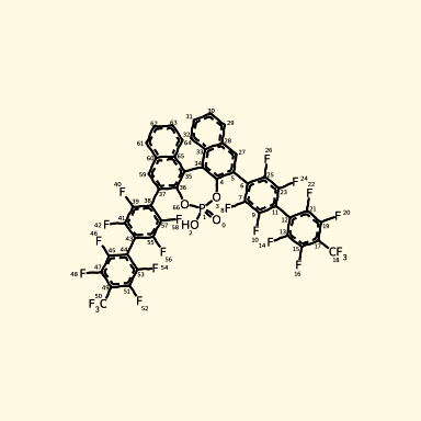 O=P1(O)Oc2c(-c3c(F)c(F)c(-c4c(F)c(F)c(C(F)(F)F)c(F)c4F)c(F)c3F)cc3ccccc3c2-c2c(c(-c3c(F)c(F)c(-c4c(F)c(F)c(C(F)(F)F)c(F)c4F)c(F)c3F)cc3ccccc23)O1